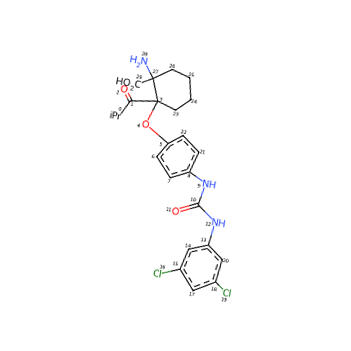 CC(C)C(=O)C1(Oc2ccc(NC(=O)Nc3cc(Cl)cc(Cl)c3)cc2)CCCCC1(N)C(=O)O